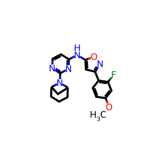 COc1ccc(-c2cc(Nc3ccnc(N4C5CCCC4C5)n3)on2)c(F)c1